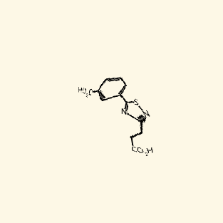 O=C(O)CCc1nsc(-c2cccc(C(=O)O)c2)n1